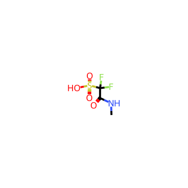 CNC(=O)C(F)(F)S(=O)(=O)O